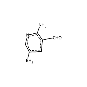 Bc1cnc(N)c(C=O)c1